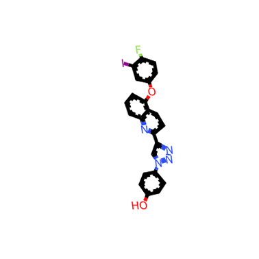 Oc1ccc(-n2cc(-c3ccc4c(Oc5ccc(F)c(I)c5)cccc4n3)nn2)cc1